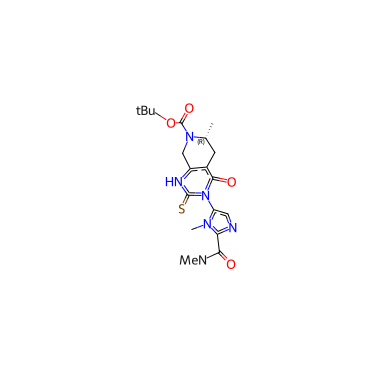 CNC(=O)c1ncc(-n2c(=S)[nH]c3c(c2=O)C[C@@H](C)N(C(=O)OC(C)(C)C)C3)n1C